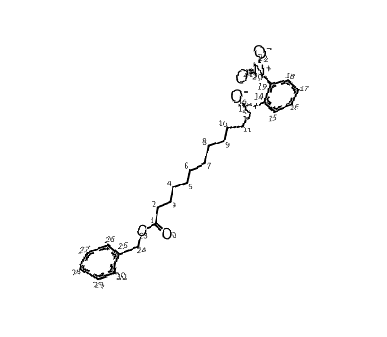 O=C(CCCCCCCCCC[S+]([O-])c1ccccc1[N+](=O)[O-])OCc1ccccc1